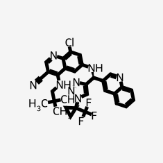 CC(C)(C)CNc1c(C#N)cnc2c(Cl)cc(N[C@@H](c3cnc4ccccc4c3)c3cn(C4(C(F)(F)F)CC4)nn3)cc12